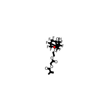 C=C(C)C(=O)OCC(=O)OCCOC12C(F)(F)C3(O)C(F)(F)C(F)(C(F)(F)C(F)(C3(F)F)C1(F)F)C2(F)F